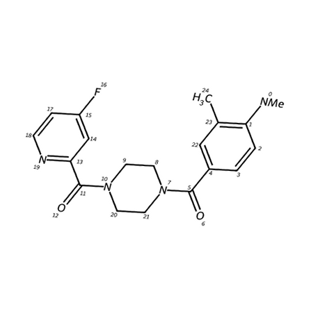 CNc1ccc(C(=O)N2CCN(C(=O)c3cc(F)ccn3)CC2)cc1C